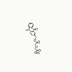 O=C(O)COCC(=O)OCc1ccc2c(c1)C(=O)c1ccccc1C2=O